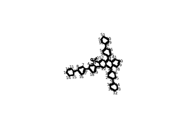 C[Si]1(C)c2cc(-c3ccc(C4C=CC=CC4)cc3)ccc2-c2cc3c(C4=CC=C(C5=CC=CCC5)CC4)c4ccccc4c(-c4ccc(-c5ccccc5)cc4)c3cc21